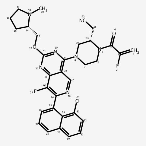 C=C(F)C(=O)N1CCN(c2nc(OC[C@@H]3CCCN3C)nc3c(F)c(-c4cccc5cccc(Cl)c45)ncc23)C[C@@H]1CC#N